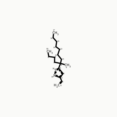 C=Cc1cc(C(C)(CCCC)CCCCCCC)sn1